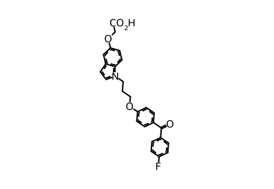 O=C(O)COc1ccc2c(ccn2CCCOc2ccc(C(=O)c3ccc(F)cc3)cc2)c1